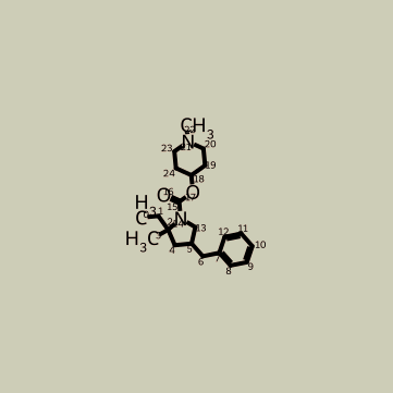 CCC1(C)CC(Cc2ccccc2)CN1C(=O)OC1CCN(C)CC1